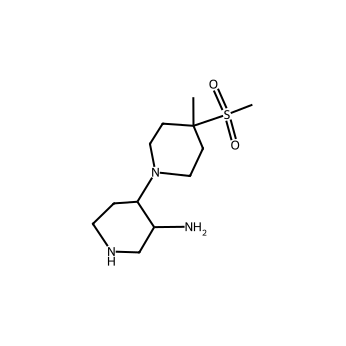 CC1(S(C)(=O)=O)CCN(C2CCNCC2N)CC1